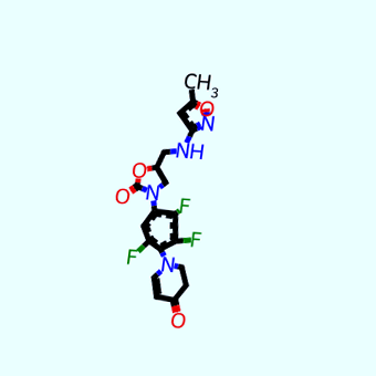 Cc1cc(NCC2CN(c3cc(F)c(N4C=CC(=O)CC4)c(F)c3F)C(=O)O2)no1